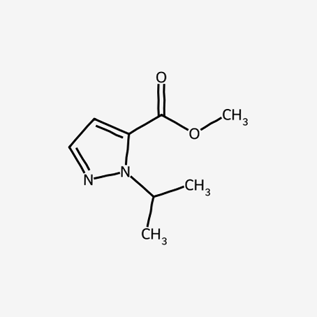 COC(=O)c1ccnn1C(C)C